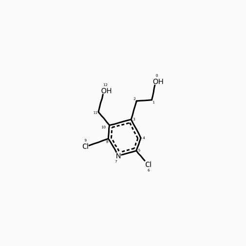 OCCc1cc(Cl)nc(Cl)c1CO